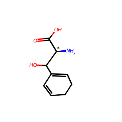 N[C@H](C(=O)O)C(O)C1=CCCC=C1